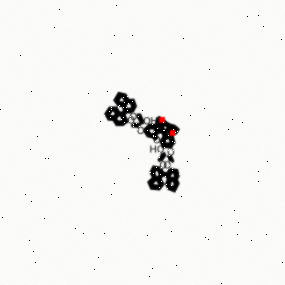 OCCOc1ccc2ccccc2c1-c1c(OCCOc2ccc3c(c2)Oc2cc(OCCOc4ccc5ccccc5c4-c4c(OCCO)ccc5ccccc45)ccc2C32c3ccccc3-c3ccccc32)ccc2ccccc12